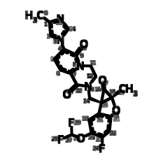 Cc1cn(-c2ccc3n(c2=O)CCN(C[C@@]24C(=O)[C@]2(C)Oc2cc(F)c(OC(F)F)cc24)C3=O)cn1